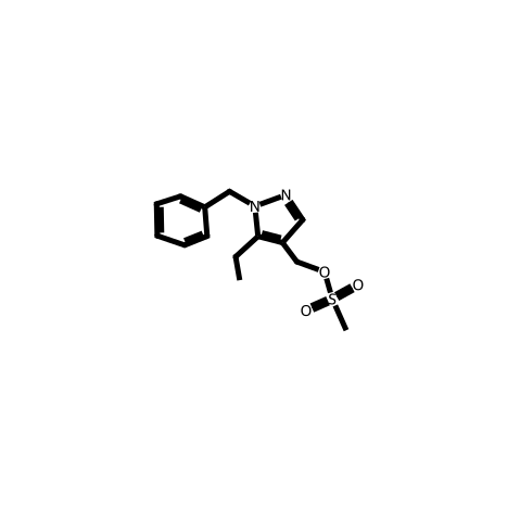 CCc1c(COS(C)(=O)=O)cnn1Cc1ccccc1